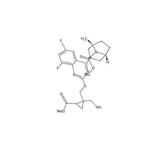 COC(=O)C1CC1(CO)COc1nc(N2C[C@H]3CC[C@@](C)(C2)N3C(=O)OC(C)(C)C)c2cc(F)cc(F)c2n1